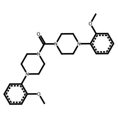 COc1ccccc1N1CCN(C(=O)N2CCN(c3ccccc3OC)CC2)CC1